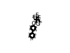 CCC(C)(C(=O)Oc1ccc(-c2ccccc2)cc1)C(F)(F)F